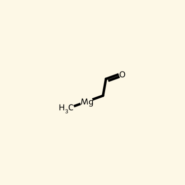 [CH3][Mg][CH2]C=O